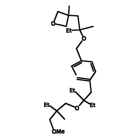 C=C(/C=C\C(=C/C)COC(C)(CC)CC1(C)COC1)CC(CC)(CC)OCC(C)(CC)COC